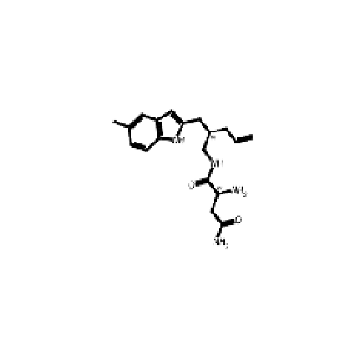 C=CC[C@@H](CNC(=O)[C@@H](N)CC(N)=O)Cc1cc2cc(C)ccc2[nH]1